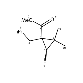 COC(=O)C1(CC(C)C)[C@H](F)C1(C)C